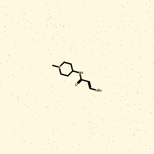 CCCC/C=C/C(=O)NC1CCN(C)CC1